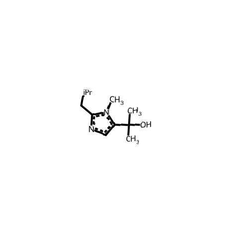 CC(C)Cc1ncc(C(C)(C)O)n1C